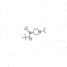 CC(C)N1CCC(N(C(=O)C(C)(C)C)C2CC2)CC1